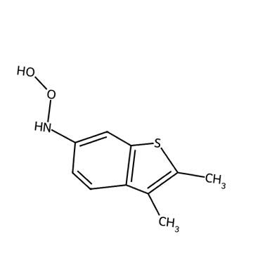 Cc1sc2cc(NOO)ccc2c1C